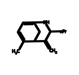 C=C1C(CCC)NC2=CC=C(C)C1C2